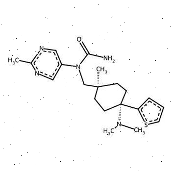 Cc1ncc(N(C[C@]2(C)CC[C@@](c3cccs3)(N(C)C)CC2)C(N)=O)cn1